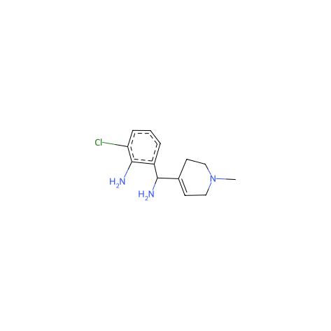 CN1CC=C(C(N)c2cccc(Cl)c2N)CC1